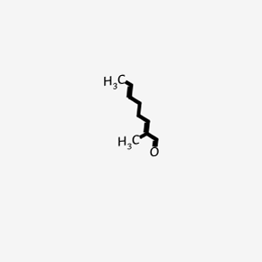 C/C=C/CC/C=C(\C)C=O